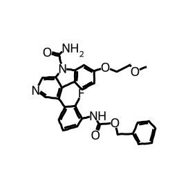 COCCOc1ccc2c3c(-c4cccc(NC(=O)OCc5ccccc5)c4F)cncc3n(C(N)=O)c2c1